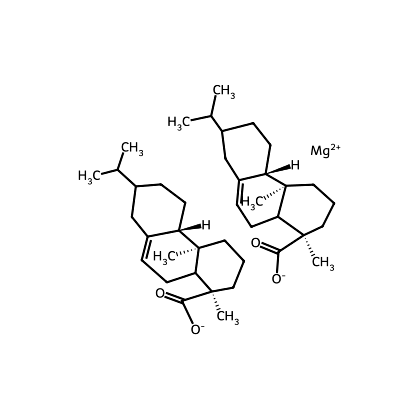 CC(C)C1CC[C@H]2C(=CCC3[C@](C)(C(=O)[O-])CCC[C@@]32C)C1.CC(C)C1CC[C@H]2C(=CCC3[C@](C)(C(=O)[O-])CCC[C@@]32C)C1.[Mg+2]